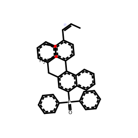 C/C=C\c1ccc(-c2c(Cc3ccccc3)cc(P(=O)(c3ccccc3)c3ccccc3)c3ccccc23)c(N)c1C